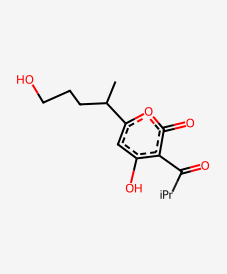 CC(C)C(=O)c1c(O)cc(C(C)CCCO)oc1=O